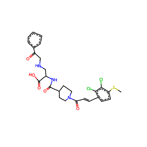 CSc1ccc(C=CC(=O)N2CCC(C(=O)NC(CNCC(=O)c3ccccc3)C(=O)O)CC2)c(Cl)c1Cl